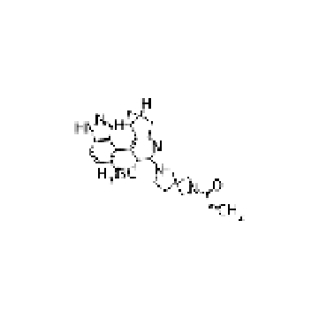 C=CC(=O)N1CC2(CCN(c3nc4c(c(-c5c(C)ccc6[nH]ncc56)c3C#N)[C@H]3C[C@@H]3C4)C2)C1